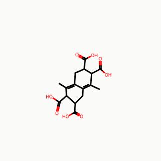 CC1=C2CC(C(=O)O)C(C(=O)O)C(C)=C2CC(C(=O)O)C1C(=O)O